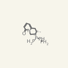 C[C@H]1Cc2cccc(=O)n2C[C@H]1P(P)PP